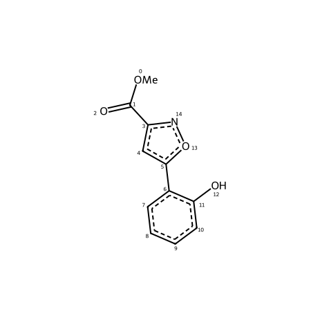 COC(=O)c1cc(-c2ccccc2O)on1